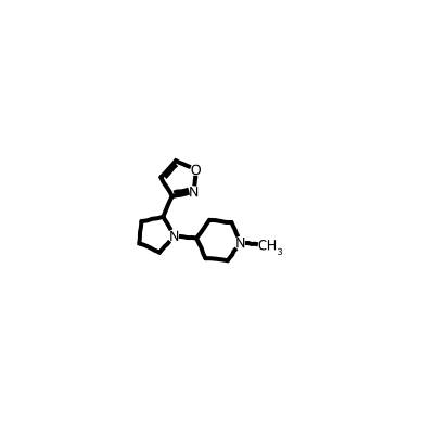 CN1CCC(N2CCCC2c2ccon2)CC1